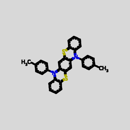 Cc1ccc(-n2c3ccccc3sc3cc4c(cc32)sc2ccccc2n4-c2ccc(C)cc2)cc1